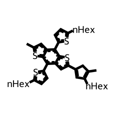 CCCCCCC1=C(C)CC(c2cc3c(-c4ccc(CCCCCC)s4)c4sc(C)cc4c(-c4ccc(CCCCCC)s4)c3s2)=C1